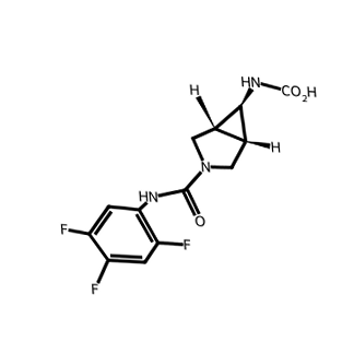 O=C(O)N[C@H]1[C@@H]2CN(C(=O)Nc3cc(F)c(F)cc3F)C[C@@H]21